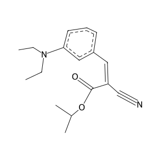 CCN(CC)c1cccc(C=C(C#N)C(=O)OC(C)C)c1